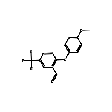 COc1ccc(Oc2ccc(C(F)(F)F)cc2C=O)cc1